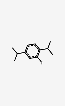 CC(C)c1ccc(C(C)C)c(F)c1